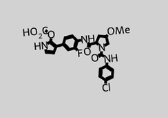 COC1CC(C(=O)Nc2ccc(-c3cc[nH]c3OC(=O)O)cc2F)N(C(=O)Nc2ccc(Cl)cc2)C1